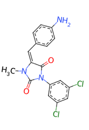 CN1C(=O)N(c2cc(Cl)cc(Cl)c2)C(=O)/C1=C\c1ccc(N)cc1